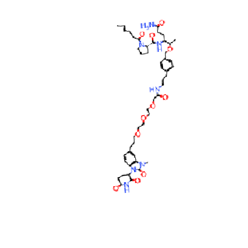 CCCCCC(=O)N1CCC[C@H]1C(=O)N[C@@H](CCC(N)=O)[C@@H](C)OCc1ccc(CCCNC(=O)COCCOCCOCCCc2ccc3c(c2)n(C)c(=O)n3C2CCC(=O)NC2=O)cc1